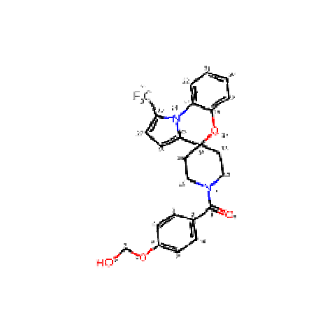 O=C(c1ccc(OCO)cc1)N1CCC2(CC1)Oc1ccccc1-n1c(C(F)(F)F)ccc12